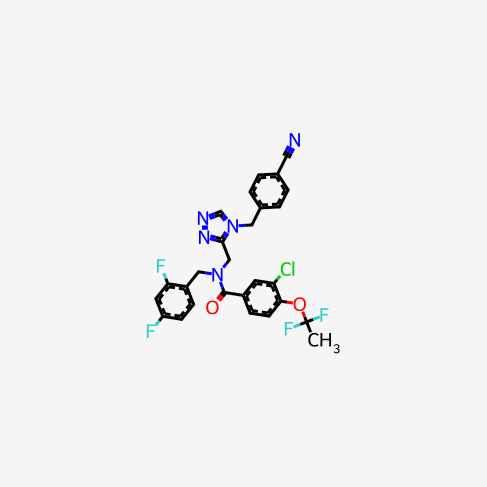 CC(F)(F)Oc1ccc(C(=O)N(Cc2ccc(F)cc2F)Cc2nncn2Cc2ccc(C#N)cc2)cc1Cl